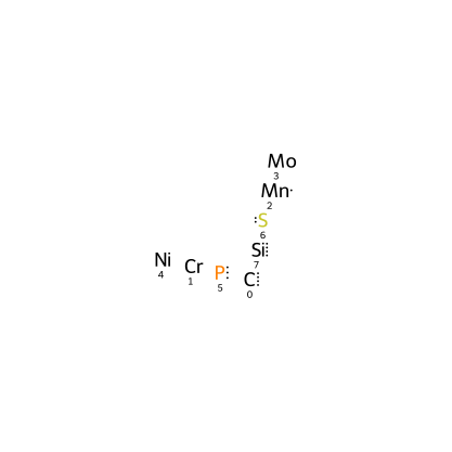 [C].[Cr].[Mn].[Mo].[Ni].[P].[S].[Si]